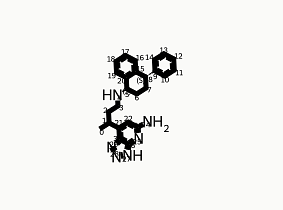 CC(CCN[C@H]1CC[C@@H](c2ccccc2)c2ccccc21)c1cc(N)nc2[nH]nnc12